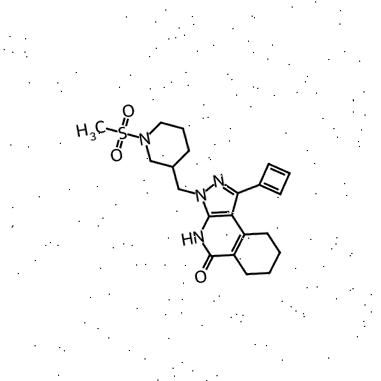 CS(=O)(=O)N1CCCC(Cn2nc(C3=CC=C3)c3c4c(c(=O)[nH]c32)CCCC4)C1